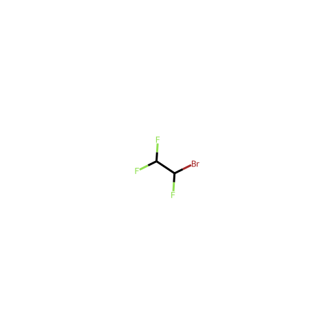 FC(F)C(F)Br